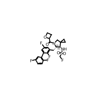 O=C(C1CCO1)N1CC2(CC2)[C@H](NS(=O)(=O)CF)[C@@H]1Cc1cc(F)cc(-c2cc(F)ccc2F)c1F